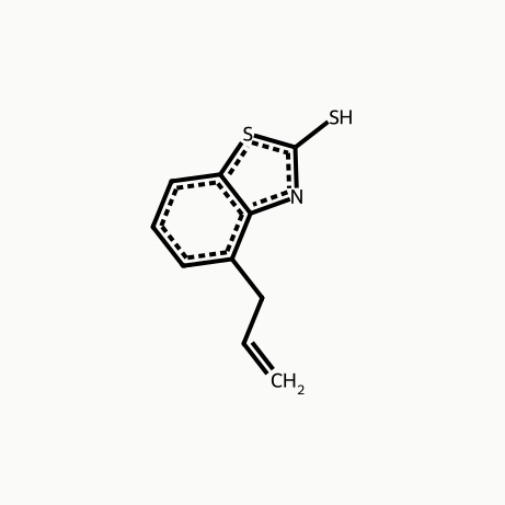 C=CCc1cccc2sc(S)nc12